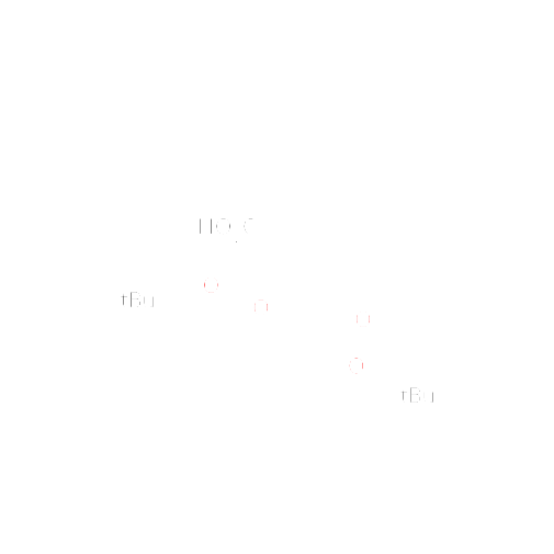 CC(C)(C)OOC(OOC(C)(C)C)C(C)(C)C(=O)O